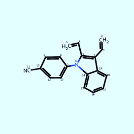 C=Cc1c(C=C)n(-c2ccc(C#N)cc2)c2ccccc12